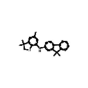 Cc1cc(Nc2ccc3c(c2)C(C)(C)c2ccccc2-3)c2c(c1)C(C)(C)CO2